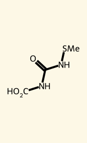 CSNC(=O)NC(=O)O